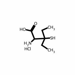 CCC(S)(CC)C(N)C(=O)O.Cl